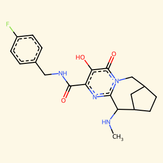 CNC1c2nc(C(=O)NCc3ccc(F)cc3)c(O)c(=O)n2CC2CCC1C2